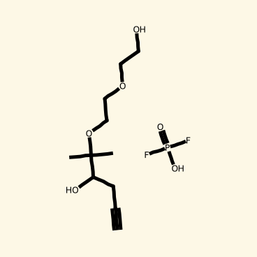 C#CCC(O)C(C)(C)OCCOCCO.O=P(O)(F)F